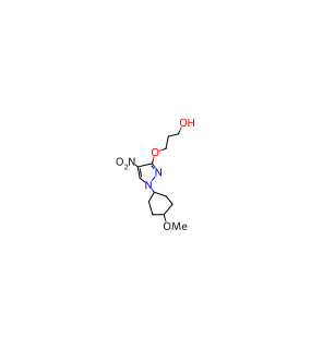 COC1CCC(n2cc([N+](=O)[O-])c(OCCCO)n2)CC1